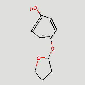 Oc1ccc(O[C@@H]2CCCO2)cc1